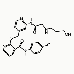 O=C(CNCCCO)Nc1cc(CSc2ncccc2C(=O)Nc2ccc(Cl)cc2)ccn1